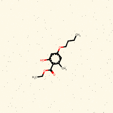 CCCCOc1cc(C)c(C(=O)OCC)c(O)c1